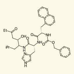 CCC(=O)CC(O)C(CC(C)C)NC(=O)[C@@H](Cc1c[nH]cn1)NC(=O)[C@H](Cc1cccc2ccccc12)NC(=O)OCc1ccccc1